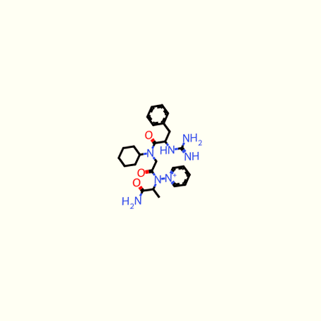 CC(C(N)=O)N(C(=O)CN(C(=O)C(Cc1ccccc1)NC(=N)N)C1CCCCC1)[n+]1ccccc1